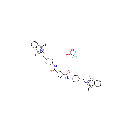 O=C(NC1CCC(CCN2[C@@H]3CC[C@H]2c2ccccc23)CC1)C1CCC(C(=O)NC2CCC(CCN3[C@@H]4CC[C@H]3c3ccccc34)CC2)C1.O=C(O)C(F)(F)F